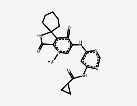 Cn1cc(Nc2cc(NC(=O)C3CC3)ncn2)c(=O)c2c1C(=O)NC21CCCCC1